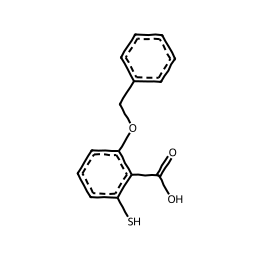 O=C(O)c1c(S)cccc1OCc1ccccc1